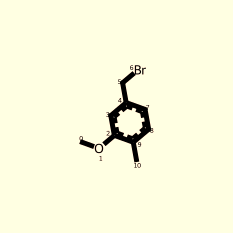 COc1cc(CBr)ccc1C